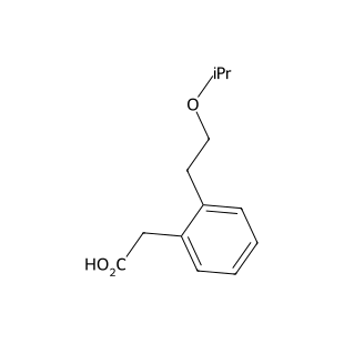 CC(C)OCCc1ccccc1CC(=O)O